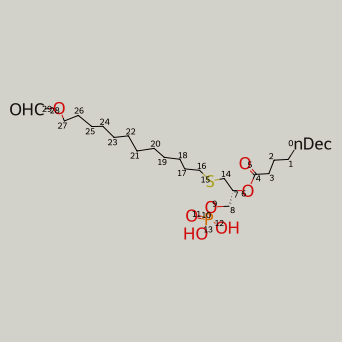 CCCCCCCCCCCCCC(=O)O[C@H](COP(=O)(O)O)CSCCCCCCCCCCCCOC=O